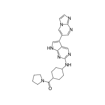 O=C(C1CCC(Nc2ncc3c(-c4cnc5nccn5c4)c[nH]c3n2)CC1)N1CCCC1